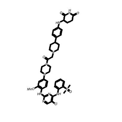 COc1cc(N2CCN(C(=O)CN3CCC(c4ccc(NC5CCC(=O)NC5=O)cc4)CC3)CC2)ccc1Nc1ncc(Cl)c(Nc2ccccc2P(C)(C)=O)n1